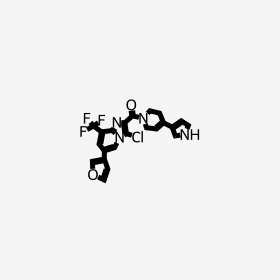 O=C(c1nc2c(C(F)(F)F)cc(-c3ccoc3)cn2c1Cl)N1CC=C(C2=CCNC2)CC1